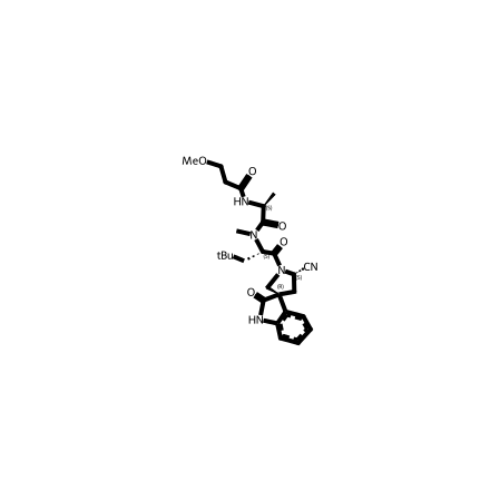 COCCC(=O)N[C@@H](C)C(=O)N(C)[C@@H](CC(C)(C)C)C(=O)N1C[C@]2(C[C@H]1C#N)C(=O)Nc1ccccc12